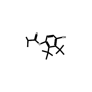 CC(C)C(=O)Oc1ccc(O)c(C(C)(C)C)c1C(C)(C)C